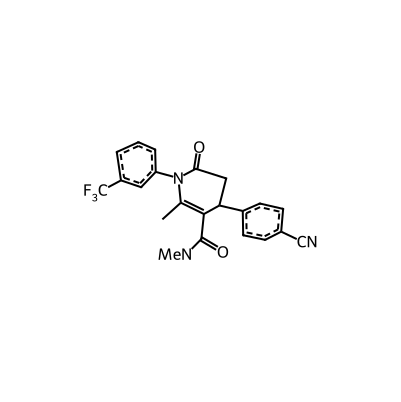 CNC(=O)C1=C(C)N(c2cccc(C(F)(F)F)c2)C(=O)CC1c1ccc(C#N)cc1